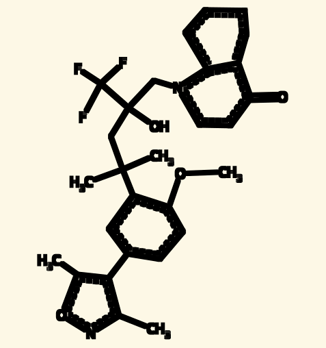 COc1ccc(-c2c(C)noc2C)cc1C(C)(C)CC(O)(Cn1ccc(=O)c2ccccc21)C(F)(F)F